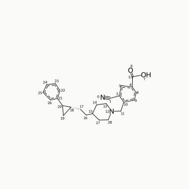 N#Cc1cc(C(=O)O)ccc1CN1CCC(CC[C@@H]2CC2c2ccccc2)CC1